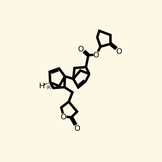 O=C1CC(CC2C[C@H]3C=CC2(C24C=CC(C2)C(C(=O)OC2CCCC2=O)C4)C3)CO1